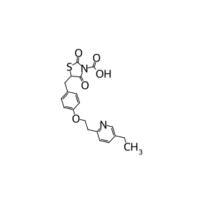 CCc1ccc(CCOc2ccc(CC3SC(=O)N(C(=O)O)C3=O)cc2)nc1